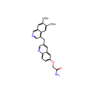 COc1cc2cncc(Cc3cnc4ccc(OCC(N)=O)cc4c3)c2cc1OC